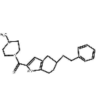 CN1CCN(C(=O)c2cc3c([nH]2)CCC(CCc2ccccc2)C3)CC1